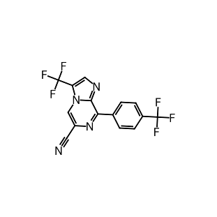 N#Cc1cn2c(C(F)(F)F)cnc2c(-c2ccc(C(F)(F)F)cc2)n1